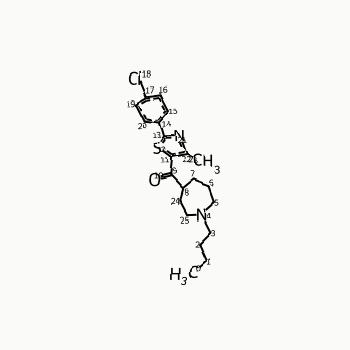 CCCCN1CCCC(C(=O)c2sc(-c3ccc(Cl)cc3)nc2C)CC1